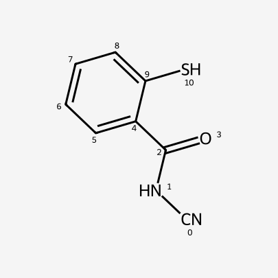 N#CNC(=O)c1ccccc1S